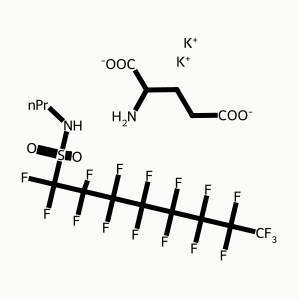 CCCNS(=O)(=O)C(F)(F)C(F)(F)C(F)(F)C(F)(F)C(F)(F)C(F)(F)C(F)(F)C(F)(F)F.NC(CCC(=O)[O-])C(=O)[O-].[K+].[K+]